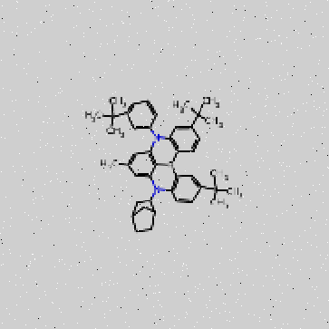 Cc1cc2c3c(c1)N(C1CC4CCC1C4)c1ccc(C(C)(C)C)cc1B3c1ccc(C(C)(C)C)cc1N2c1cccc(C(C)(C)C)c1